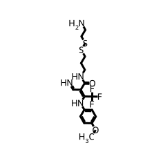 COc1ccc(N/C(=C(\C=N)C(=O)NCCCSSCCN)C(F)(F)F)cc1